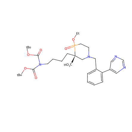 CCOP1(=O)CCN(Cc2ccccc2-c2cncnc2)C[C@@]1(CCCCN(C(=O)OC(C)(C)C)C(=O)OC(C)(C)C)C(=O)O